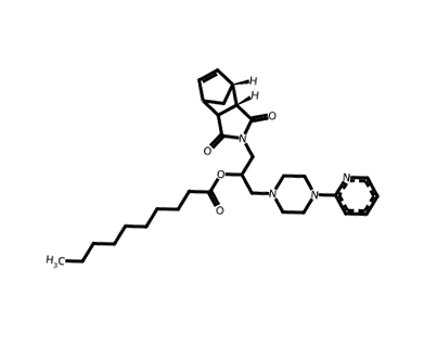 CCCCCCCCCC(=O)OC(CN1CCN(c2ccccn2)CC1)CN1C(=O)C2C3C=C[C@@H](C3)[C@@H]2C1=O